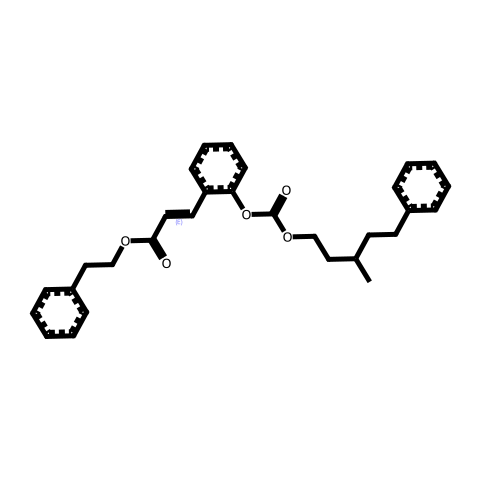 CC(CCOC(=O)Oc1ccccc1/C=C/C(=O)OCCc1ccccc1)CCc1ccccc1